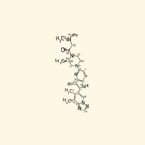 Cc1c(-c2[nH]c3ccc(N4CCN(C(=O)CN(C)C(C)C)[C@H](C)C4)nc3c2C(C)C)cn2ncnc2c1C